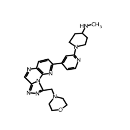 CNC1CCN(c2cc(-c3ccc4ncc5nnc(CN6CCOCC6)n5c4n3)ccn2)CC1